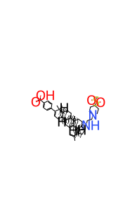 C=C(C)[C@@H]1CC[C@]2(NCCN3CCC(S(C)(=O)=O)CC3)CC[C@]3(C)[C@H](CC[C@@H]4[C@@]5(C)CC=C(c6ccc(C(=O)O)cc6)C(C)(C)[C@@H]5CC[C@]43C)[C@@H]12